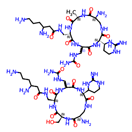 C[C@@H]1NC(=O)[C@@H](N)CNC(=O)[C@H](C2CCNC(=N)N2)NC(=O)/C(=C/NC(N)=O)NC(=O)[C@H](CNC(=O)CC(N)CCCN)NC1=O.N=C1NCCC([C@@H]2NC(=O)/C(=C/NC(N)=O)NC(=O)[C@H](CNC(=O)CC(N)CCCN)NC(=O)[C@H](CO)NC(=O)[C@@H](N)CNC2=O)N1